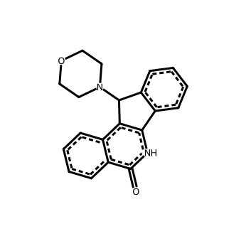 O=c1[nH]c2c(c3ccccc13)C(N1CCOCC1)c1ccccc1-2